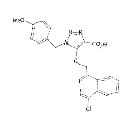 COc1ccc(Cn2nnc(C(=O)O)c2OCc2ccc(Cl)c3ccccc23)cc1